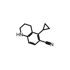 N#Cc1ccc2c(c1C1CC1)CCCN2